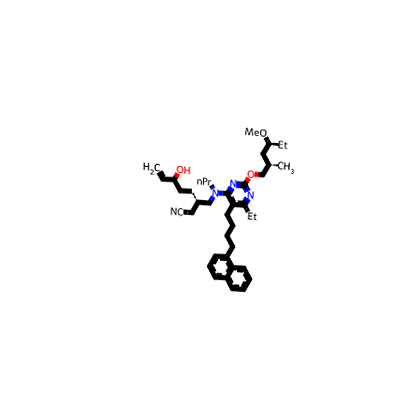 C=CC(O)CC[C@@H](CC#N)CN(CCC)c1nc(OC[C@@H](C)C[C@H](CC)OC)nc(CC)c1CCCCc1cccc2ccccc12